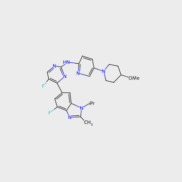 COC1CCN(c2ccc(Nc3ncc(F)c(-c4cc(F)c5nc(C)n(C(C)C)c5c4)n3)nc2)CC1